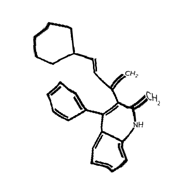 C=C(/C=C/C1CCCCC1)C1=C(c2ccccc2)c2ccccc2NC1=C